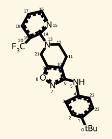 CC(C)(C)c1ccc(Nc2noc3c2CCN(c2ncccc2C(F)(F)F)C3)cc1